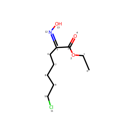 CCOC(=O)/C(CCCCCCl)=N\O